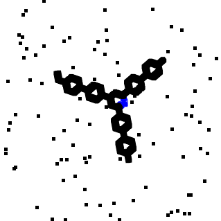 C=Cc1ccc(-c2ccc(-c3cc(-c4ccc(-c5ccc(C)cc5)cc4)nc(-c4ccc(-c5ccc(C)cc5)cc4)c3)cc2)cc1